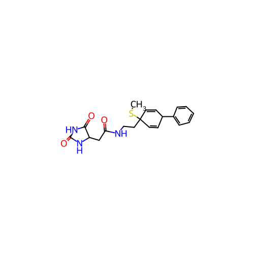 CSC1(CCNC(=O)CC2NC(=O)NC2=O)C=CC(c2ccccc2)C=C1